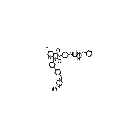 Cc1c(CNC2CCC(n3c(=O)c4cc(F)cnc4n(-c4cccc(-c5ccc(CN6CCN(C(C)C)CC6)cc5)c4)c3=O)CC2)ncn1Cc1ccccc1